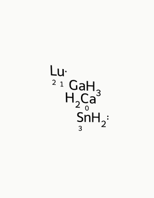 [CaH2].[GaH3].[Lu].[SnH2]